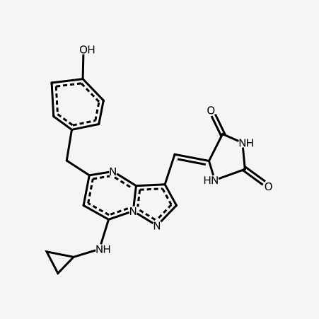 O=C1NC(=O)/C(=C/c2cnn3c(NC4CC4)cc(Cc4ccc(O)cc4)nc23)N1